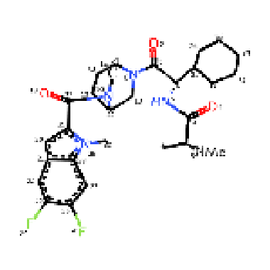 CN[C@@H](C)C(=O)N[C@H](C(=O)N1CC2CCC1CN2C(=O)c1cc2cc(F)c(F)cc2n1C)C1CCCCC1